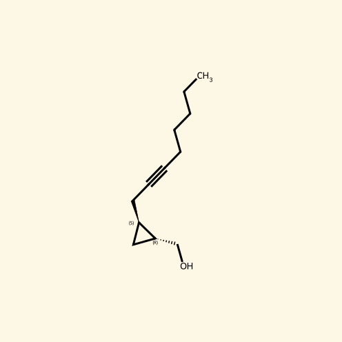 CCCCCC#CC[C@@H]1C[C@H]1CO